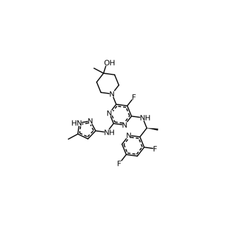 Cc1cc(Nc2nc(N[C@@H](C)c3ncc(F)cc3F)c(F)c(N3CCC(C)(O)CC3)n2)n[nH]1